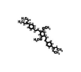 CCN(CC)c1ccc(C=Cc2cc(OC)c(C=Cc3ccc(N(CC)CC)cc3)cc2OC)cc1